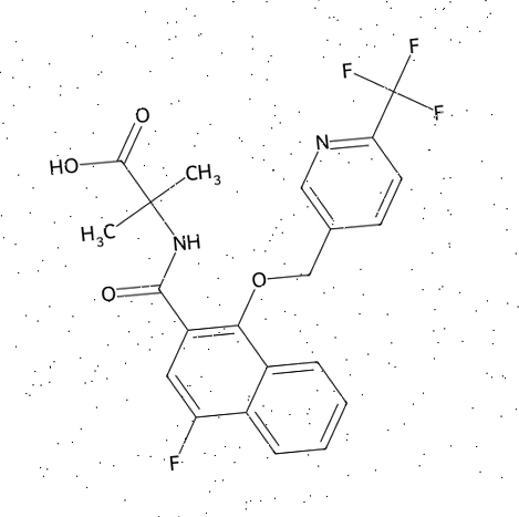 CC(C)(NC(=O)c1cc(F)c2ccccc2c1OCc1ccc(C(F)(F)F)nc1)C(=O)O